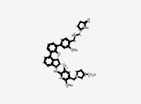 COc1cc(-c2cccc(-c3cccc4c3CC[C@@H]4Nc3nc(OC)c(CN4CC[C@@H](C(=O)O)C4)cc3C(F)(F)F)c2Cl)ccc1CNC[C@@H]1CCC(=O)N1